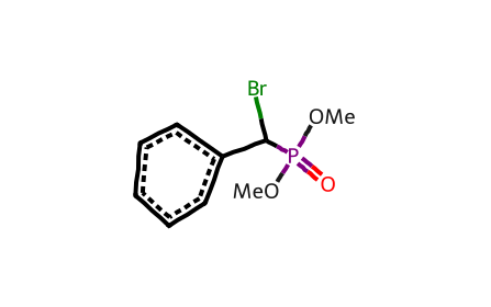 COP(=O)(OC)C(Br)c1ccccc1